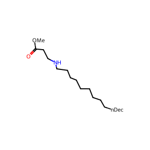 CCCCCCCCCCCCCCCCCCCNCCC(=O)OC